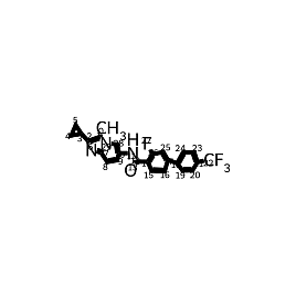 Cc1c(C2CC2)nc2ccc(NC(=O)c3ccc(-c4ccc(C(F)(F)F)cc4)cc3F)cn12